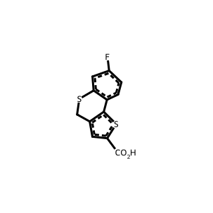 O=C(O)c1cc2c(s1)-c1ccc(F)cc1SC2